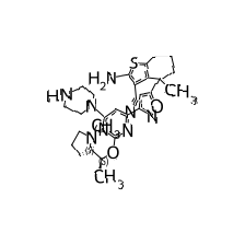 C[C@H](Oc1nc(-c2cc(C3(C)CCCc4sc(N)c(C#N)c43)on2)cc(N2CCNCC2)n1)[C@@H]1CCCN1C